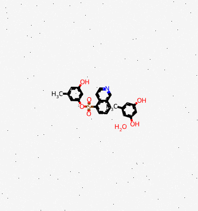 Cc1cc(O)cc(O)c1.Cc1cc(O)cc(OS(=O)(=O)c2cccc3cnccc23)c1.O